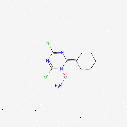 NON1C(Cl)=NC(Cl)=NC1=C1CCCCC1